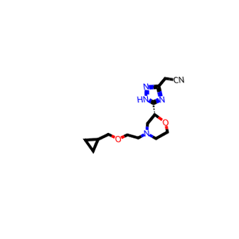 N#CCc1n[nH]c([C@H]2CN(CCOCC3CC3)CCO2)n1